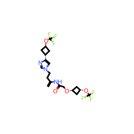 C=C(CCn1cnc([C@H]2C[C@H](OC(F)(F)F)C2)c1)NC(=O)CO[C@H]1C[C@@H](OC(F)(F)F)C1